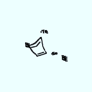 C1=[CH][Bi]=[CH]1.[Bi].[Se].[Te]